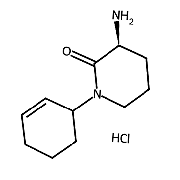 Cl.N[C@H]1CCCN(C2C=CCCC2)C1=O